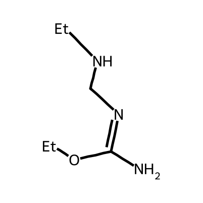 CCNC/N=C(/N)OCC